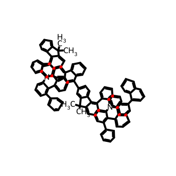 CC1(C)c2ccccc2-c2c(-c3ccccc3N(c3ccc4c(c3)cc(-c3ccc5c(c3)C(C)(C)c3cccc(-c6ccccc6N(c6cccc(-c7cccc8ccccc78)c6)c6cccc(-c7ccccc7)c6-c6ccccc6-c6ccccc6)c3-5)c3ccccc34)c3cccc(-c4ccccc4)c3-c3ccccc3-c3ccccc3)cccc21